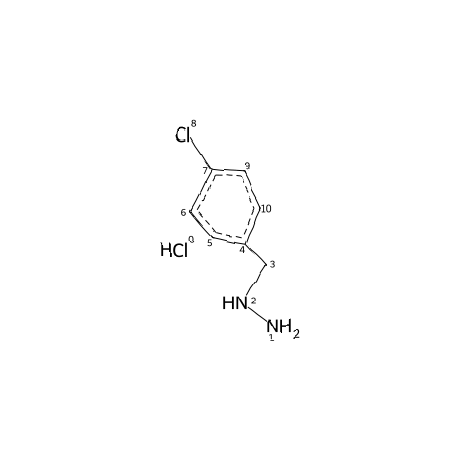 Cl.NNCc1ccc(Cl)cc1